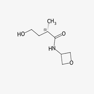 C[C@@H](CCO)C(=O)NC1COC1